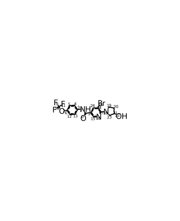 O=C(Nc1ccc(OC(F)(F)F)cc1)c1cnc(N2CCC(O)C2)c(Br)c1